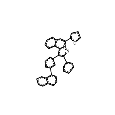 c1ccc(-c2nn3c(-c4ccco4)cc4ccccc4c3c2-c2cccc(-c3cccc4ccccc34)c2)cc1